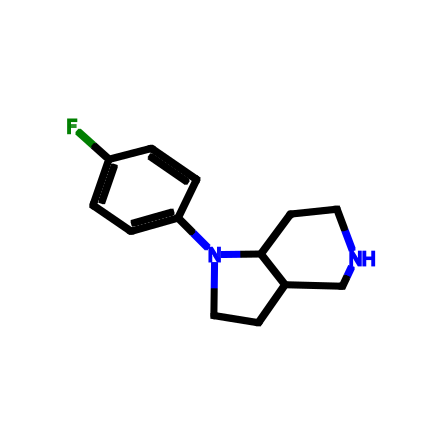 Fc1ccc(N2CCC3CNCCC32)cc1